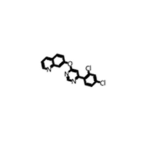 Clc1ccc(-c2cc(Oc3ccc4cccnc4c3)ncn2)c(Cl)c1